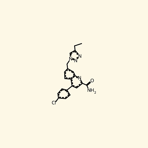 CCc1cn(Cc2ccc3c(-c4ccc(Cl)cc4)cc(C(N)=O)nc3c2)nn1